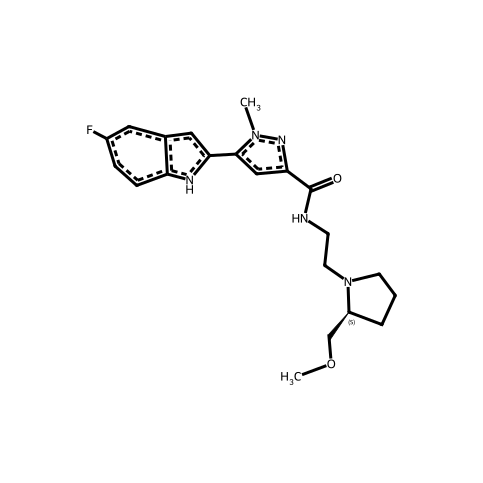 COC[C@@H]1CCCN1CCNC(=O)c1cc(-c2cc3cc(F)ccc3[nH]2)n(C)n1